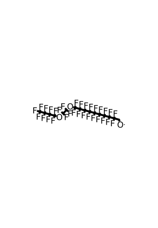 [O]CC(F)(F)C(F)(F)C(F)(F)C(F)(F)C(F)(F)C(F)(F)C(F)(F)C(F)(F)C(F)(F)OC(F)(F)C(F)(F)OC(F)(F)C(F)(F)C(F)(F)C(F)(F)F